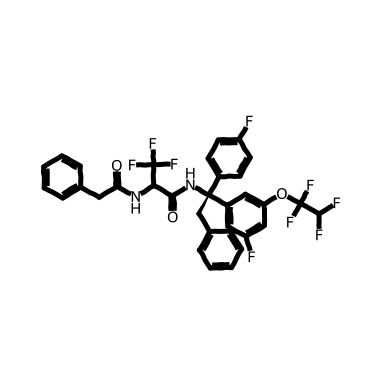 O=C(Cc1ccccc1)NC(C(=O)N[C@](Cc1ccccc1)(c1ccc(F)cc1)c1cc(F)cc(OC(F)(F)C(F)F)c1)C(F)(F)F